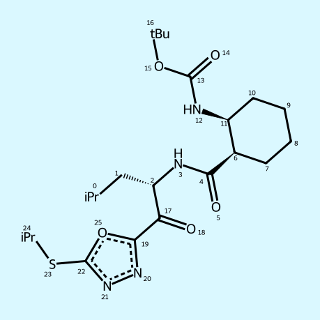 CC(C)C[C@H](NC(=O)[C@@H]1CCCC[C@@H]1NC(=O)OC(C)(C)C)C(=O)c1nnc(SC(C)C)o1